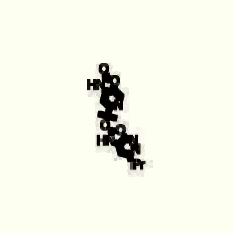 CC(C)c1cc2c(nn1)OC(OC(C)(C)c1cc3[nH]c(=O)oc3cn1)N2